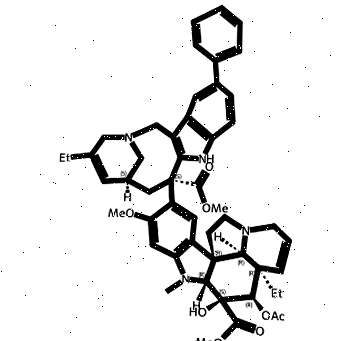 CCC1=C[C@H]2CN(C1)Cc1c([nH]c3ccc(-c4ccccc4)cc13)[C@@](C(=O)OC)(c1cc3c(cc1OC)N(C)[C@H]1[C@@](O)(C(=O)OC)[C@H](OC(C)=O)[C@]4(CC)C=CCN5CC[C@]31[C@@H]54)C2